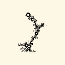 COc1cc2c(c(OC)c1OC)-c1ccc(OC)c(=O)cc1C(NC(=O)CCCCC(=O)NOCc1ccc(NC(=O)C(CCCNC(N)=O)NC(=O)CNC(=O)CCC(=O)N3CCC(C(=O)NC4CCCCCCC4)CC3)cc1)CC2